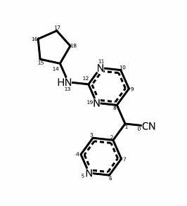 N#CC(c1ccncc1)c1ccnc(NC2CCCC2)n1